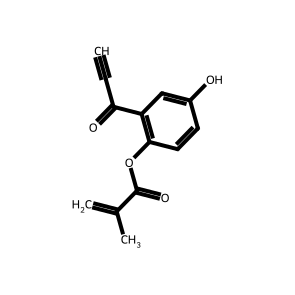 C#CC(=O)c1cc(O)ccc1OC(=O)C(=C)C